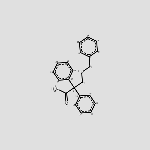 NC(=O)C(CSCc1ccccc1)(c1ccccc1)c1ccccc1